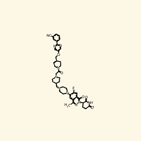 Cc1nn(C2CCC(=O)NC2=O)c(=O)c2cc(F)c(N3CCN(CC4CCN(CC(=O)N5CCC(COc6cnc(-c7cccc(C#N)c7)nc6)CC5)CC4)CC3)cc12